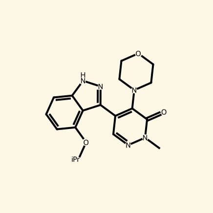 CC(C)Oc1cccc2[nH]nc(-c3cnn(C)c(=O)c3N3CCOCC3)c12